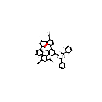 Cc1ccc2c(c1)c1cc(C)ccc1n2-c1c(-c2ccc(C#N)cc2C#N)cc(-c2nc(-c3ccccc3)nc(-c3ccccc3)n2)cc1-c1ccc(C#N)cc1C#N